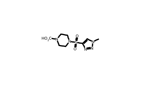 Cn1cc(S(=O)(=O)N2CCN(C(=O)O)CC2)nn1